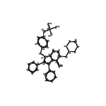 N=c1c2c(-c3ccccc3)c(-c3ccccc3)n(Cc3ccc(OC(F)(F)F)cc3)c2ncn1CC1CCOCC1